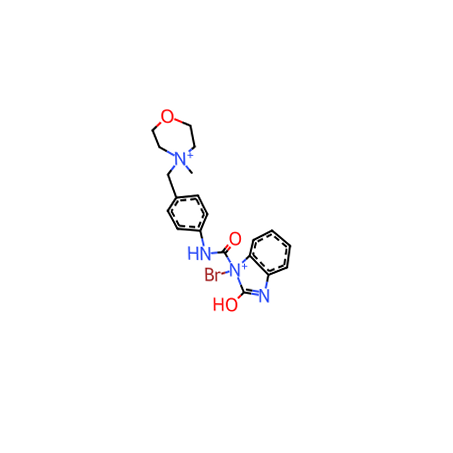 C[N+]1(Cc2ccc(NC(=O)[N+]3(Br)C(O)=Nc4ccccc43)cc2)CCOCC1